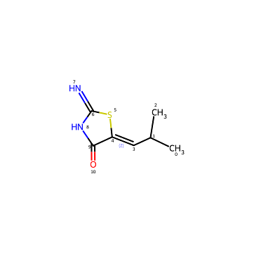 CC(C)/C=C1\SC(=N)NC1=O